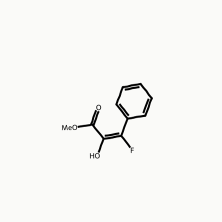 COC(=O)/C(O)=C(/F)c1ccccc1